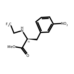 COC(=O)[C@H](Cc1cccc([N+](=O)[O-])c1)NCC(F)(F)F